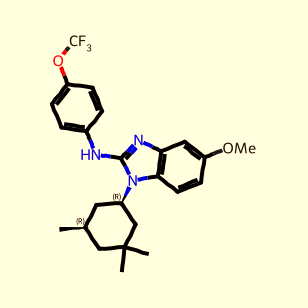 COc1ccc2c(c1)nc(Nc1ccc(OC(F)(F)F)cc1)n2[C@@H]1C[C@H](C)CC(C)(C)C1